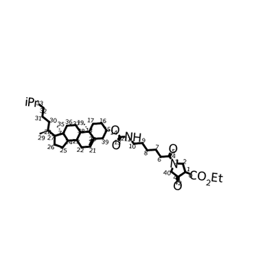 CCOC(=O)C1CN(C(=O)CCCCCNC(=O)O[C@H]2CC[C@@]3(C)C(=CCC4C5CCC([C@@H](C)CCCC(C)C)[C@@]5(C)CCC43)C2)CC1=O